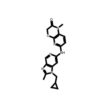 Cc1nc2cnc(Nc3ccc4c(n3)OCC(=O)N4C)cc2n1CC1CC1